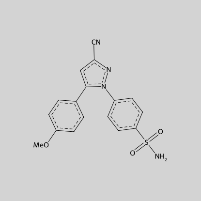 COc1ccc(-c2cc(C#N)nn2-c2ccc(S(N)(=O)=O)cc2)cc1